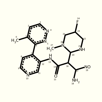 Cc1ccnnc1-c1ccncc1NC(=O)C(C(N)N=O)C1NCC(F)CN1C